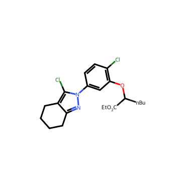 CCCCC(Oc1cc(-n2nc3c(c2Cl)CCCC3)ccc1Cl)C(=O)OCC